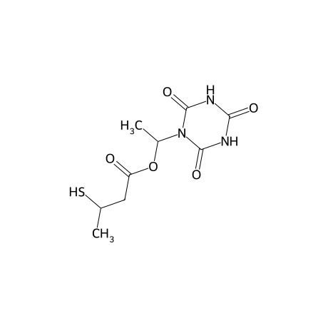 CC(S)CC(=O)OC(C)n1c(=O)[nH]c(=O)[nH]c1=O